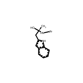 CC(C)N[C@@](C)(O)Cc1cc2ccccc2[nH]1